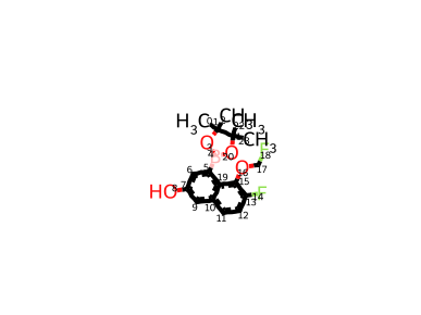 CC1(C)OB(c2cc(O)cc3ccc(F)c(OCF)c23)OC1(C)C